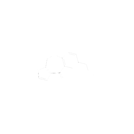 O=C(O)Cc1ccc2c(c1)C(=O)c1ccsc1CO2